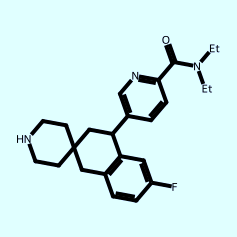 CCN(CC)C(=O)c1ccc(C2CC3(CCNCC3)Cc3ccc(F)cc32)cn1